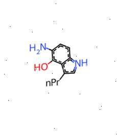 CCCc1c[nH]c2ccc(N)c(O)c12